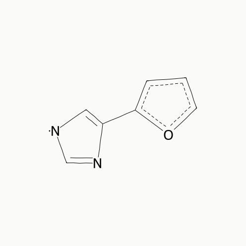 C1=NC(c2ccco2)=C[N]1